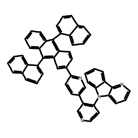 c1ccc2c(-c3c4ccccc4c(-c4cccc5ccccc45)c4cc(-c5ccc(-c6cnccc6-n6c7ccccc7c7ncccc76)cn5)ccc34)cccc2c1